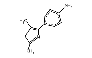 CC1=NC(c2ccc(N)cc2)=C(C)C1